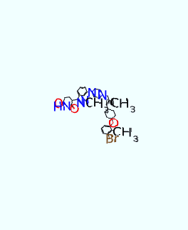 Cc1c(Br)cccc1OC1CCC(C[C@@H](C)CN2CCN(c3cccc4c(C5CCC(=O)NC5=O)nn(C)c34)CC2)CC1